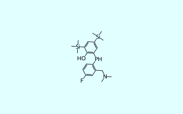 CN(C)Cc1cc(F)ccc1Pc1cc([Si](C)(C)C)cc([Si](C)(C)C)c1O